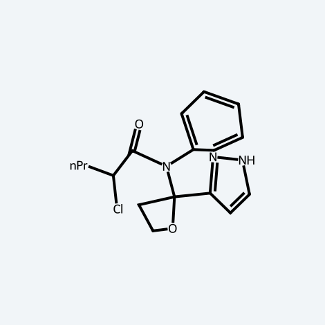 CCCC(Cl)C(=O)N(c1ccccc1)C1(c2cc[nH]n2)CCO1